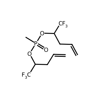 C=CCC(OP(C)(=O)OC(CC=C)C(F)(F)F)C(F)(F)F